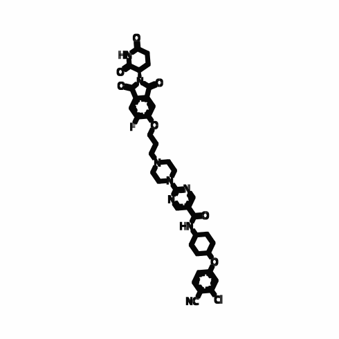 N#Cc1ccc(OC2CCC(NC(=O)c3cnc(N4CCN(CCCOc5cc6c(cc5F)C(=O)N([C@@H]5CCC(=O)NC5=O)C6=O)CC4)nc3)CC2)cc1Cl